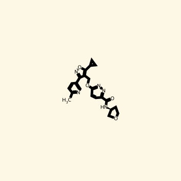 Cc1ccc(-c2noc(C3CC3)c2COc2ccc(C(=O)N[C@H]3CCOC3)nn2)cn1